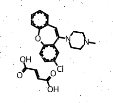 CN1CCN(C2=Cc3ccccc3Oc3ccc(Cl)cc32)CC1.O=C(O)/C=C/C(=O)O